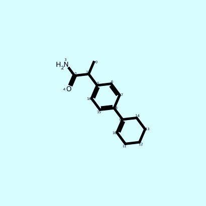 CC(C(N)=O)c1ccc(C2=CCCCC2)cc1